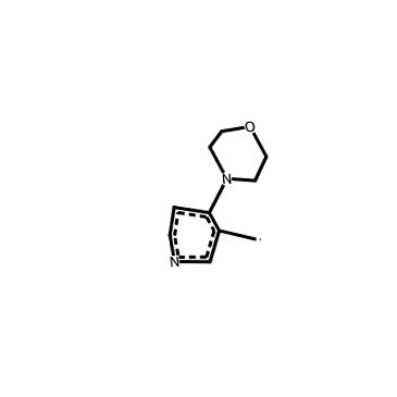 [CH2]c1cnccc1N1CCOCC1